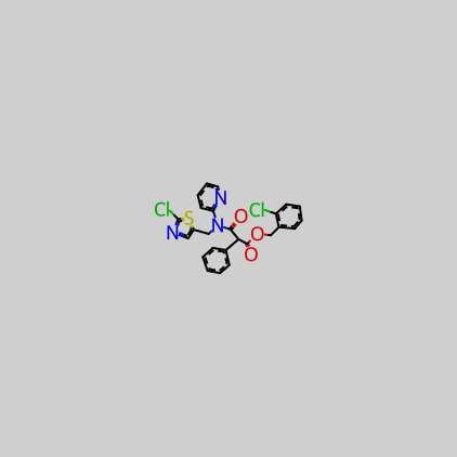 O=C(OCc1ccccc1Cl)C(C(=O)N(Cc1cnc(Cl)s1)c1ccccn1)c1ccccc1